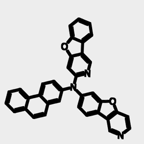 c1ccc2c(c1)ccc1cc(N(c3ccc4c(c3)oc3ccncc34)c3cc4oc5ccccc5c4cn3)ccc12